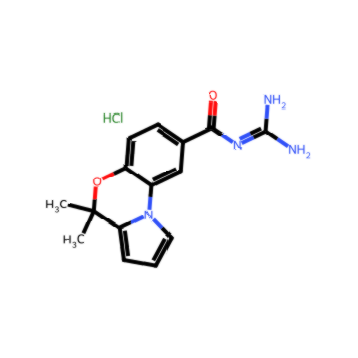 CC1(C)Oc2ccc(C(=O)N=C(N)N)cc2-n2cccc21.Cl